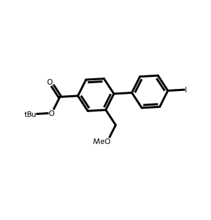 COCc1cc(C(=O)OC(C)(C)C)ccc1-c1ccc(I)cc1